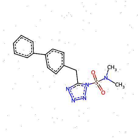 CN(C)S(=O)(=O)n1nnnc1Cc1ccc(-c2ccccc2)cc1